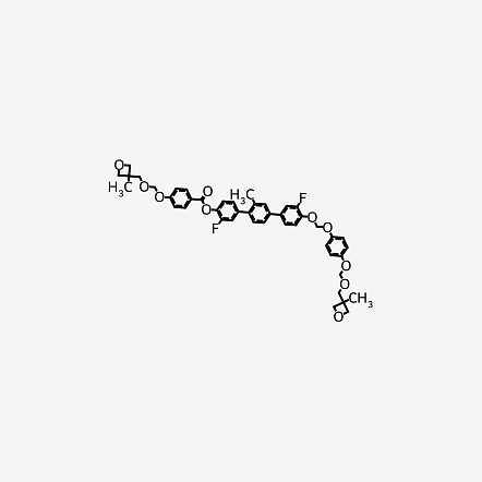 Cc1cc(-c2ccc(OCOc3ccc(OCOCC4(C)COC4)cc3)c(F)c2)ccc1-c1ccc(OC(=O)c2ccc(OCOCC3(C)COC3)cc2)c(F)c1